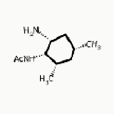 CC(=O)N[C@@H]1[C@H](N)C[C@H](C)C[C@@H]1C